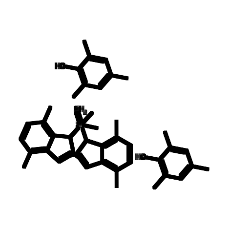 CC1=Cc2c(C)ccc(C)c2[CH]1[Zr]([CH3])([CH3])(=[SiH2])[CH]1C(C)=Cc2c(C)ccc(C)c21.Cc1cc(C)c(O)c(C)c1.Cc1cc(C)c(O)c(C)c1